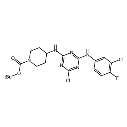 CC(C)(C)OC(=O)N1CCC(Nc2nc(Cl)nc(Nc3ccc(F)c(Cl)c3)n2)CC1